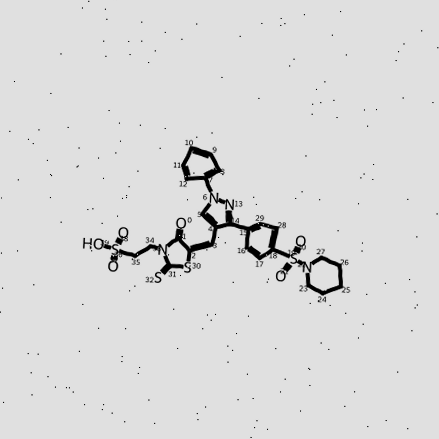 O=C1/C(=C\c2cn(-c3ccccc3)nc2-c2ccc(S(=O)(=O)N3CCCCC3)cc2)SC(=S)N1CCS(=O)(=O)O